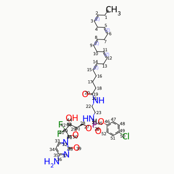 CC/C=C\C/C=C\C/C=C\C/C=C\C/C=C\CCCC(=O)NCCNP(=O)(OC[C@H]1O[C@@H](n2ccc(N)nc2=O)C(F)(F)[C@@H]1O)Oc1ccc(Cl)cc1